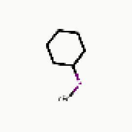 CCC[P]C1CCCCC1